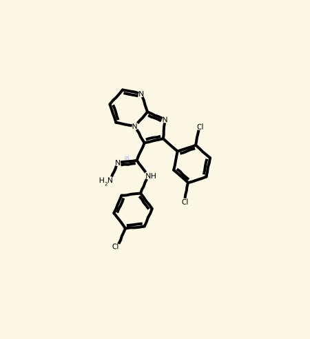 N/N=C(\Nc1ccc(Cl)cc1)c1c(-c2cc(Cl)ccc2Cl)nc2ncccn12